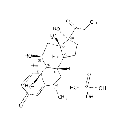 C[C@H]1C[C@@H]2[C@H]([C@@H](O)C[C@@]3(C)[C@H]2CC[C@]3(O)C(=O)CO)[C@@]2(C)C=CC(=O)C=C12.O=P(O)(O)O